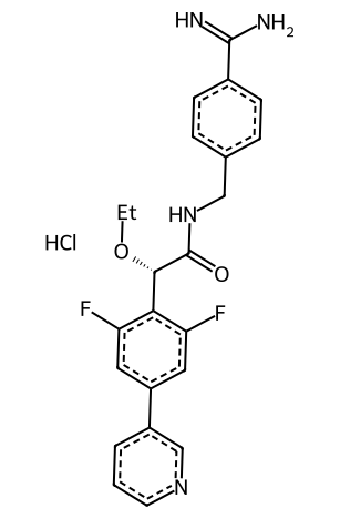 CCO[C@H](C(=O)NCc1ccc(C(=N)N)cc1)c1c(F)cc(-c2cccnc2)cc1F.Cl